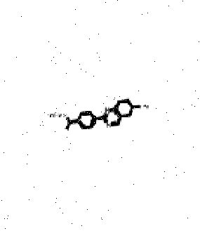 CCCCCCC(C)c1ccc(-c2ncc3c(n2)CCC(CCC)C3)cc1